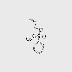 C=CCOS(=O)(=O)c1ccccc1.[Co]